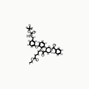 CCOC(=O)CCCN(C(=O)C1CCN(C(=O)c2ccccc2)CC1)c1ccccc1Oc1cccc(CNC(=O)OC(C)(C)C)c1